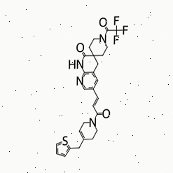 O=C(/C=C/c1cnc2c(c1)CC1(CCN(C(=O)C(F)(F)F)CC1)C(=O)N2)N1CC=C(Cc2cccs2)CC1